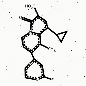 Cc1c(-c2ccnc(F)c2)ccn2c(=O)c(C(=O)O)cc(C3CC3)c12